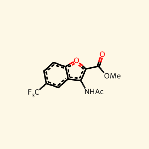 COC(=O)c1oc2ccc(C(F)(F)F)cc2c1NC(C)=O